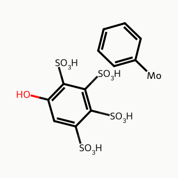 O=S(=O)(O)c1cc(O)c(S(=O)(=O)O)c(S(=O)(=O)O)c1S(=O)(=O)O.[Mo][c]1ccccc1